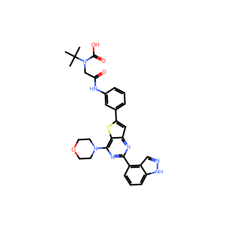 CC(C)(C)N(CC(=O)Nc1cccc(-c2cc3nc(-c4cccc5[nH]ncc45)nc(N4CCOCC4)c3s2)c1)C(=O)O